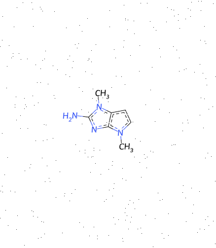 Cn1ccc2c1nc(N)n2C